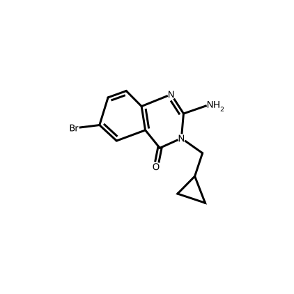 Nc1nc2ccc(Br)cc2c(=O)n1CC1CC1